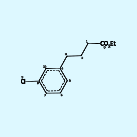 CCOC(=O)CCCc1cccc(Cl)c1